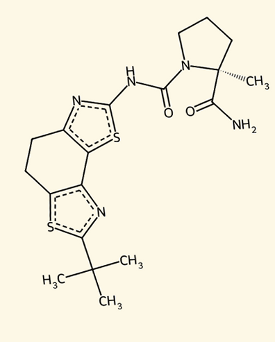 CC(C)(C)c1nc2c(s1)CCc1nc(NC(=O)N3CCC[C@@]3(C)C(N)=O)sc1-2